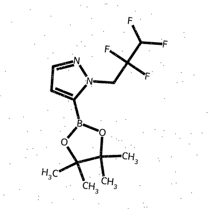 CC1(C)OB(c2ccnn2CC(F)(F)C(F)F)OC1(C)C